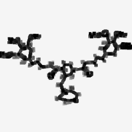 COc1cc(/C=C/C=C/C(=O)N2CCN(C(=O)/C=C/C=C/c3cc(OC)c(OC)c(OC)c3)C(CN3CCOCC3)C2)cc(OC)c1OC